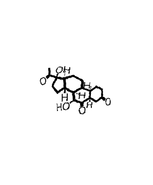 CC(=O)[C@@]1(O)CC[C@H]2[C@@H]3[C@H](O)C(=O)[C@H]4CC(=O)CC[C@]4(C)[C@H]3CC[C@@]21C